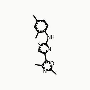 Cc1ccc(Nc2nc(-c3oc(C)nc3C)cs2)c(C)c1